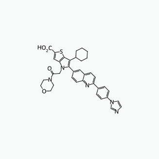 O=C(O)c1cc2c(s1)c(C1CCCCC1)c(-c1ccc3nc(-c4ccc(-n5ccnc5)cc4)ccc3c1)n2CC(=O)N1CCOCC1